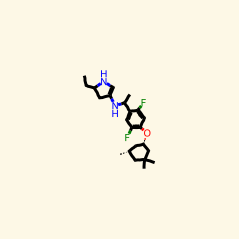 CCC1CC(NC(C)c2cc(F)c(O[C@H]3C[C@@H](C)CC(C)(C)C3)cc2F)=CN1